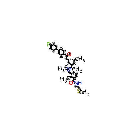 C=c1ccc(C(=O)NCCSC)c(C)/c1=C/N(C)CC(CCC)CCCC(=O)c1ccc(-c2ccc(F)cc2)cc1